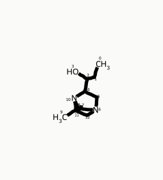 CCC(O)C1CN2C=C(C)N1CC2